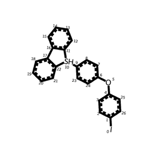 Ic1ccc(Oc2ccc([SH]3c4ccccc4-c4ccccc43)cc2)cc1